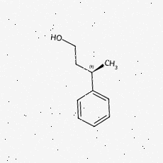 C[C@H](CCO)c1ccccc1